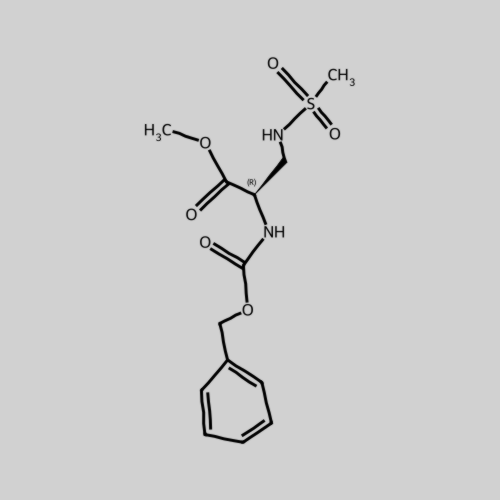 COC(=O)[C@@H](CNS(C)(=O)=O)NC(=O)OCc1ccccc1